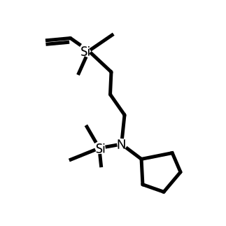 C=C[Si](C)(C)CCCN(C1CCCC1)[Si](C)(C)C